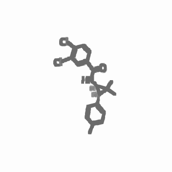 Cc1ccc([C@@H]2[C@@H](NC(=O)c3ccc(Cl)c(Cl)c3)C2(C)C)cc1